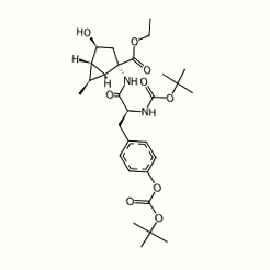 CCOC(=O)[C@]1(NC(=O)[C@H](Cc2ccc(OC(=O)OC(C)(C)C)cc2)NC(=O)OC(C)(C)C)C[C@H](O)[C@H]2[C@H](C)[C@H]21